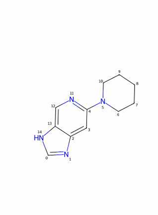 c1nc2cc(N3CCCCC3)ncc2[nH]1